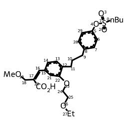 CCCCS(=O)(=O)Oc1ccc(CCCc2ccc(/C=C(/COC)C(=O)O)cc2OCCOCC)cc1